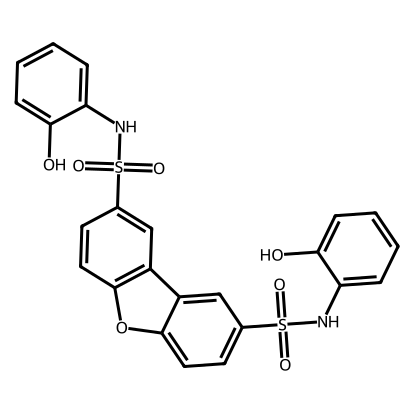 O=S(=O)(Nc1ccccc1O)c1ccc2oc3ccc(S(=O)(=O)Nc4ccccc4O)cc3c2c1